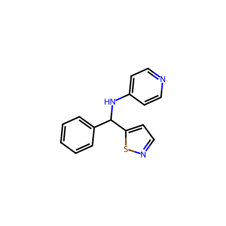 c1ccc(C(Nc2ccncc2)c2ccns2)cc1